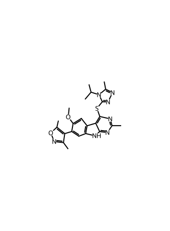 COc1cc2c(cc1-c1c(C)noc1C)[nH]c1nc(C)nc(Sc3nnc(C)n3C(C)C)c12